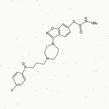 CCCCNC(=O)Oc1ccc2c(N3CCCN(CCCC(=O)c4ccc(F)cc4)CC3)noc2c1